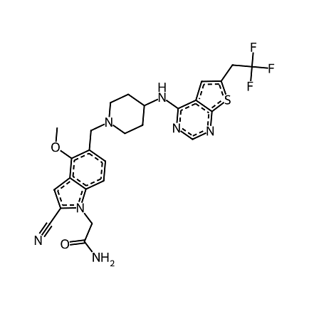 COc1c(CN2CCC(Nc3ncnc4sc(CC(F)(F)F)cc34)CC2)ccc2c1cc(C#N)n2CC(N)=O